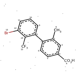 Cc1cc(C(=O)O)ccc1-c1cccc(Br)c1C(F)(F)F